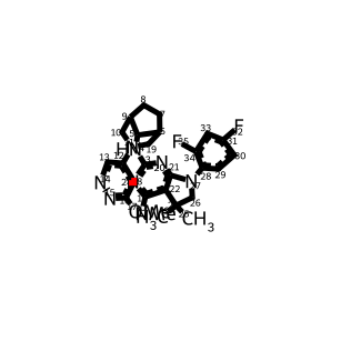 CNc1nc(NC2C3CCC2CN(c2cnnc(OC)c2)C3)nc2c1C(C)(C)CN2c1ccc(F)cc1F